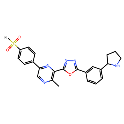 Cc1ncc(-c2ccc(S(=O)(=O)C(C)C)cc2)nc1-c1nnc(-c2cccc(C3CCCN3)c2)o1